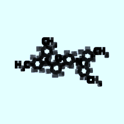 Cc1ccc2c(c1)c1cc(C)ccc1n2-c1ccc2oc3c(-n4c5ccc(C)cc5c5cc(C)ccc54)cccc3c2c1